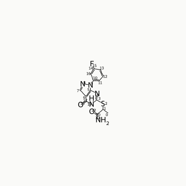 CC(Sc1nc2c(cnn2-c2cccc(F)c2)c(=O)[nH]1)C(N)=O